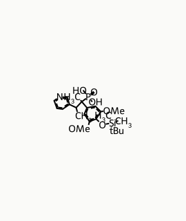 COc1cc(C(C)(C(C)c2cccnc2)P(=O)(O)O)cc(OC)c1O[Si](C)(C)C(C)(C)C